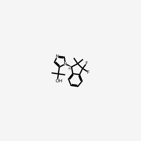 CC(C)(O)c1cncn1[C@@H]1c2ccccc2C(F)(F)C1(C)C